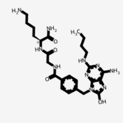 CCCCNc1nc(N)c2nc(O)n(Cc3ccc(C(=O)NCC(=O)N[C@@H](CCCCN)C(N)=O)cc3)c2n1